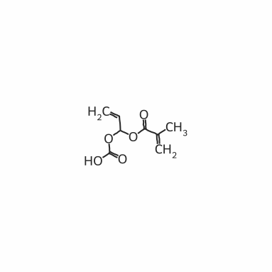 C=CC(OC(=O)O)OC(=O)C(=C)C